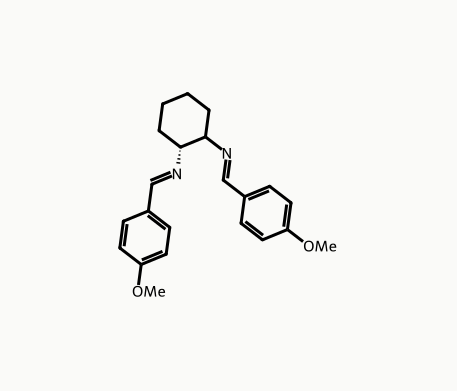 COc1ccc(C=NC2CCCC[C@H]2N=Cc2ccc(OC)cc2)cc1